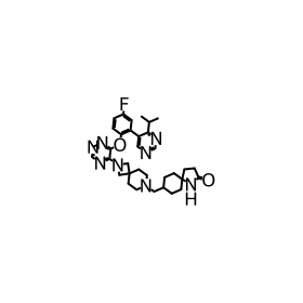 CC(C)c1ncncc1-c1cc(F)ccc1Oc1nncnc1N1CC2(CCN(CC3CCC4(CCC(=O)N4)CC3)CC2)C1